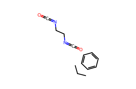 CCC.O=C=NCCN=C=O.c1ccccc1